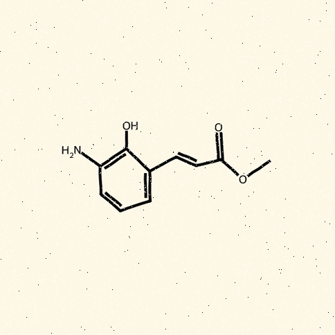 COC(=O)C=Cc1cccc(N)c1O